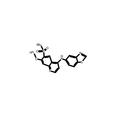 CCCOc1cc2nccc(Nc3ccc4scnc4c3)c2cc1S(=O)(=O)C(C)(C)C